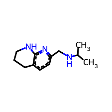 CC(C)NCc1ccc2c(n1)NCCC2